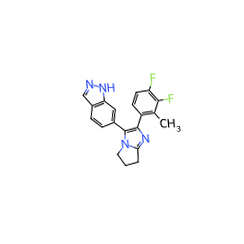 Cc1c(-c2nc3n(c2-c2ccc4cn[nH]c4c2)CCC3)ccc(F)c1F